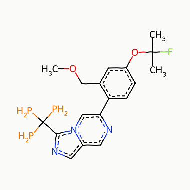 COCc1cc(OC(C)(C)F)ccc1-c1cn2c(C(P)(P)P)ncc2cn1